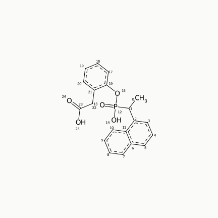 CC(c1cccc2ccccc12)P(=O)(O)Oc1ccccc1CC(=O)O